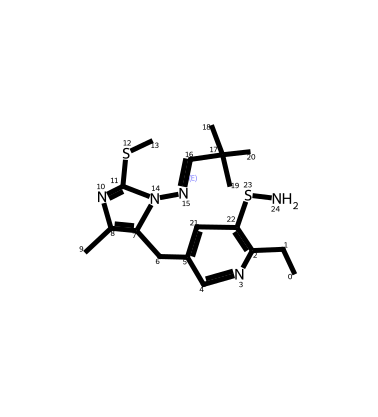 CCc1ncc(Cc2c(C)nc(SC)n2/N=C/C(C)(C)C)cc1SN